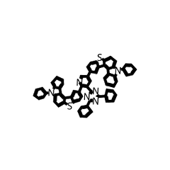 c1ccc(-c2nc(-c3ccccc3)nc(-c3cc(-c4ccc5sc6ccc7c(c8ccccc8n7-c7ccccc7)c6c5c4)cnc3-c3ccc4sc5ccc6c(c7ccccc7n6-c6ccccc6)c5c4c3)n2)cc1